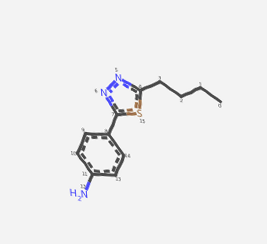 CCCCc1nnc(-c2ccc(N)cc2)s1